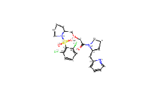 O=C(COCC1CCCCN1S(=O)(=O)c1c(Cl)cccc1Cl)N1CCCC1Cc1ccccn1